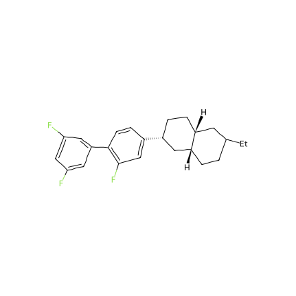 CCC1CC[C@@H]2C[C@H](c3ccc(-c4cc(F)cc(F)c4)c(F)c3)CC[C@@H]2C1